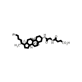 CC(C)CCC[C@@H](C)C1CC[C@H]2[C@]3(C)CC=C4C[C@@H](NC(=O)CNC(=O)CCC(=O)O)CC[C@]4(C)[C@H]3CC[C@]12C